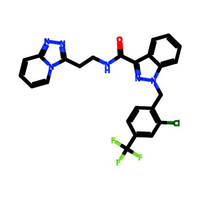 O=C(NCCc1nnc2ccccn12)c1nn(Cc2ccc(C(F)(F)F)cc2Cl)c2ccccc12